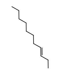 CC/C=C/CCCCCCC